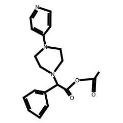 CC(=O)OC(=O)C(c1ccccc1)N1CCN(c2ccncc2)CC1